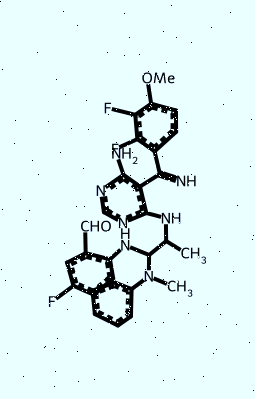 COc1ccc(C(=N)c2c(N)ncnc2NC(C)C(Nc2ccc(F)cc2C=O)N(C)c2ccccc2)c(F)c1F